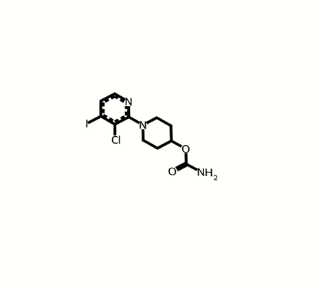 NC(=O)OC1CCN(c2nccc(I)c2Cl)CC1